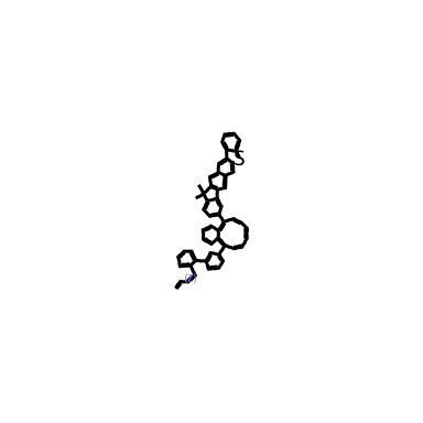 C=C/C=C\c1ccccc1-c1cccc(-c2ccccccc(-c3ccc4c(c3)-c3cc5cc6sc7ccccc7c6cc5cc3C4(C)C)c3ccccc23)c1